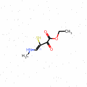 CCOC(=O)C(=O)/C(S)=C/NC